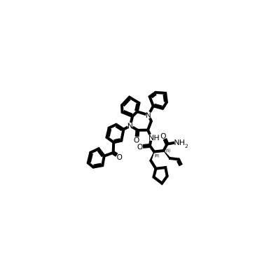 C=CC[C@H](C(N)=O)[C@@H](CC1CCCC1)C(=O)NC1CN(c2ccccc2)c2ccccc2N(c2cccc(C(=O)c3ccccc3)c2)C1=O